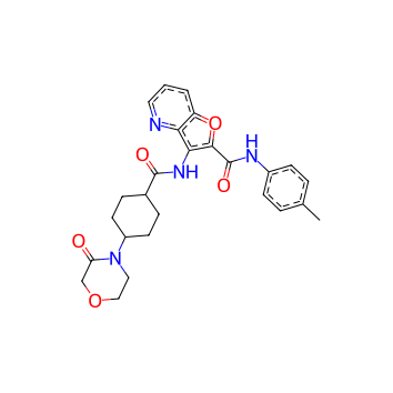 Cc1ccc(NC(=O)c2oc3cccnc3c2NC(=O)C2CCC(N3CCOCC3=O)CC2)cc1